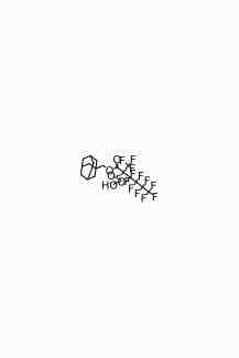 O=C(OCC12CC3CC(CC(C3)C1)C2)C(C(F)(F)F)(C(F)(F)C(F)(F)C(F)(F)C(F)(F)F)S(=O)(=O)O